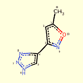 Cc1cc(-c2c[nH]nn2)no1